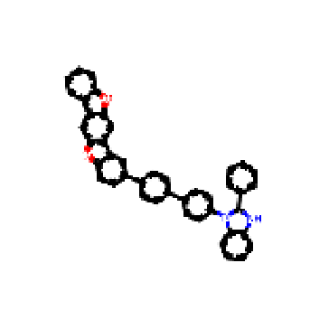 c1ccc(C2Nc3ccccc3N2c2ccc(-c3ccc(-c4ccc5oc6cc7c(cc6c5c4)oc4ccccc47)cc3)cc2)cc1